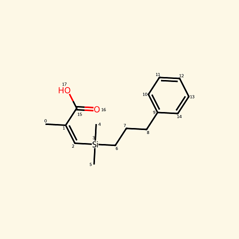 CC(=C[Si](C)(C)CCCc1ccccc1)C(=O)O